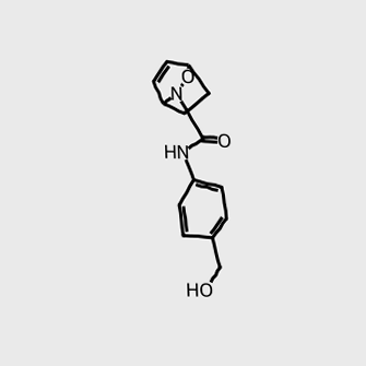 O=C(Nc1ccc(CO)cc1)N1OC2C=CC1CC2